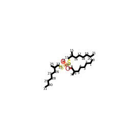 CCCCCCC(C)COP(=O)(SCC(C)CCCCCC)SCC(C)CCCCCC